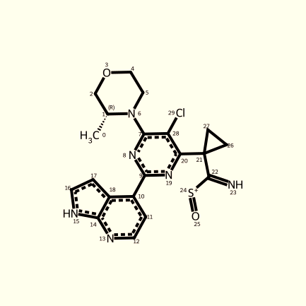 C[C@@H]1COCCN1c1nc(-c2ccnc3[nH]ccc23)nc(C2(C(=N)[S+]=O)CC2)c1Cl